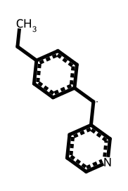 CCc1ccc([CH]c2cccnc2)cc1